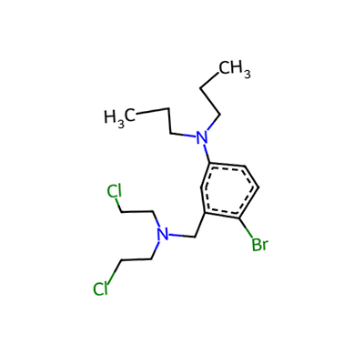 CCCN(CCC)c1ccc(Br)c(CN(CCCl)CCCl)c1